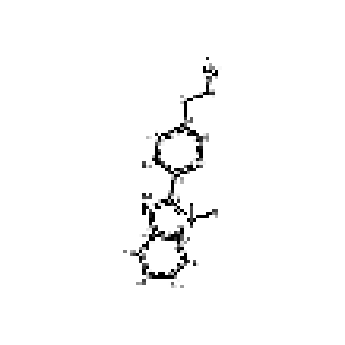 Cn1c(-c2ccc(CCBr)cc2)nc2ccccc21